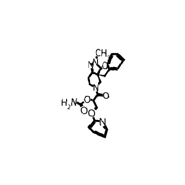 CN1N=C2CCN(C(=O)C(COc3ccccn3)OC(N)=O)C[C@@]2(Cc2ccccc2)C1=O